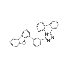 c1cc(-c2cccc3c2oc2ccccc23)cc(-c2nnc3c4ccccc4c4ccccc4n23)c1